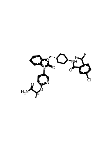 C[C@H](Oc1ccc(-n2c(=O)n(C[C@H]3CC[C@H](NC(=O)c4cc(Cl)ccc4C(F)F)CC3)c3ccccc32)cn1)C(N)=O